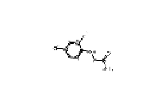 NC(=S)CNc1ccc(Cl)cc1Cl